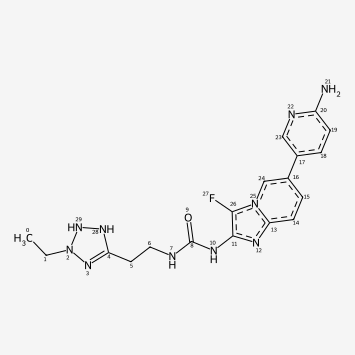 CCN1N=C(CCNC(=O)Nc2nc3ccc(-c4ccc(N)nc4)cn3c2F)NN1